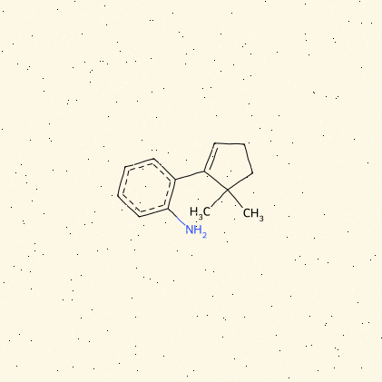 CC1(C)CCC=C1c1ccccc1N